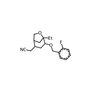 CCC12CC(CO1)C(CC#N)CC2OCc1ccccc1F